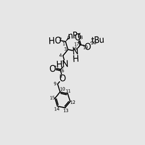 CCC[C@H](O)C(CNC(=O)OCc1ccccc1)NC(=O)OC(C)(C)C